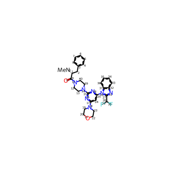 CN[C@H](Cc1ccccc1)C(=O)N1CCN(c2nc(N3CCOCC3)cc(-n3c(C(F)F)nc4ccccc43)n2)CC1